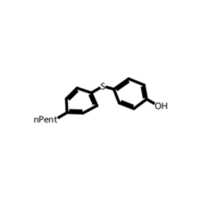 CCCCCc1ccc(Sc2ccc(O)cc2)cc1